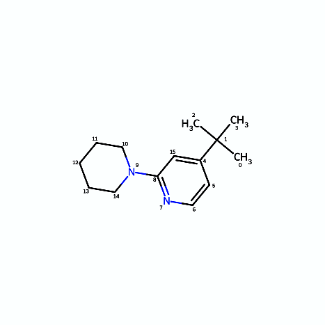 CC(C)(C)c1ccnc(N2CCCCC2)c1